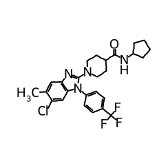 Cc1cc2nc(N3CCC(C(=O)NC4CCCC4)CC3)n(-c3ccc(C(F)(F)F)cc3)c2cc1Cl